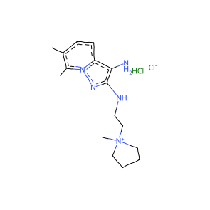 Cc1ccc2c(N)c(NCC[N+]3(C)CCCC3)nn2c1C.Cl.[Cl-]